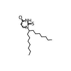 CCCCCCCC(CCCCCCC)n1ccc(=O)[nH]c1=S